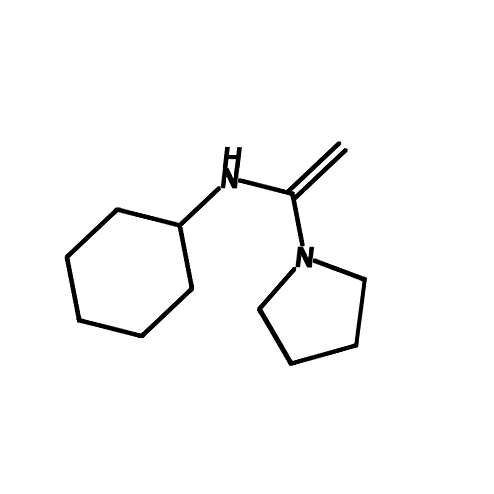 C=C(NC1CCCCC1)N1CCCC1